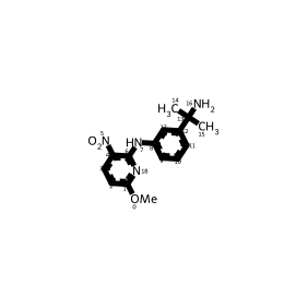 COc1ccc([N+](=O)[O-])c(Nc2cccc(C(C)(C)N)c2)n1